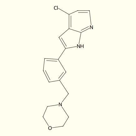 Clc1ccnc2[nH]c(-c3cccc(CN4CCOCC4)c3)cc12